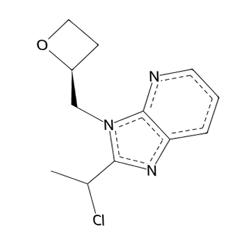 CC(Cl)c1nc2cccnc2n1C[C@@H]1CCO1